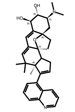 CN(C)[C@H]1C[C@@]23CC[C@@]4(O2)C(=CC(C)(C)[C@]2(C)C(c5cccc6ncccc56)=CCC42)C=C3[C@@H](O)[C@@H]1O